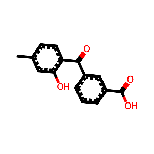 Cc1ccc(C(=O)c2cccc(C(=O)O)c2)c(O)c1